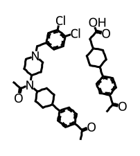 CC(=O)c1ccc(C2CCC(CC(=O)O)CC2)cc1.CC(=O)c1ccc(C2CCC(N(C(C)=O)C3CCN(Cc4ccc(Cl)c(Cl)c4)CC3)CC2)cc1